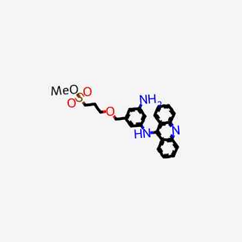 COS(=O)(=O)CCCOCc1cc(N)cc(Nc2c3ccccc3nc3ccccc23)c1